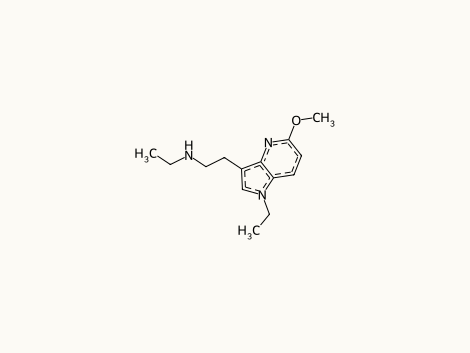 CCNCCc1cn(CC)c2ccc(OC)nc12